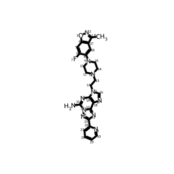 Cc1noc2cc(F)c(N3CCN(CCn4cnc5c4nc(N)n4nc(-c6ccccn6)nc54)CC3)cc12